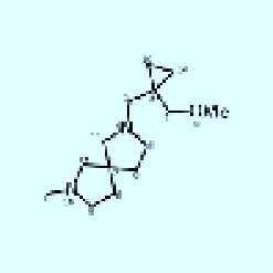 COCC1(CN2CCC3(CCN(C)C3)C2)CC1